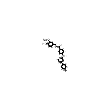 COc1cc(CNC(=O)c2ccc(Nc3nccc(-c4ccc(Cl)cc4)n3)cc2)ccc1O